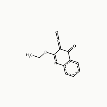 CCOC1=Nc2ccccc2C(=O)C1=C=O